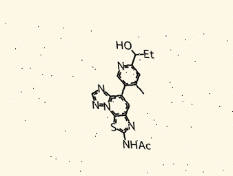 CCC(O)c1cc(C)c(-c2cc3nc(NC(C)=O)sc3n3ncnc23)cn1